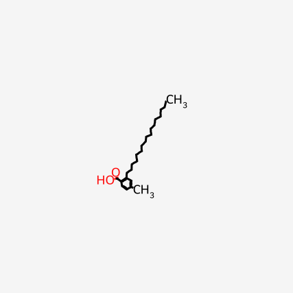 CCCCCCCCCCCCCCCCCCc1cc(C)ccc1C(=O)O